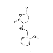 Cc1ccccc1CNC1CCC(=O)NC1=O